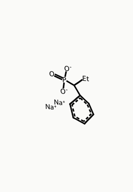 CCC(c1ccccc1)P(=O)([O-])[O-].[Na+].[Na+]